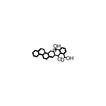 O=C(O)c1cccc(C(=O)O)c1C(Cl)C1C=c2ccc3c(c2CC1)CC=c1ccccc1=3